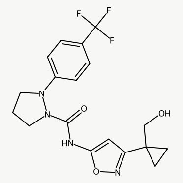 O=C(Nc1cc(C2(CO)CC2)no1)N1CCCN1c1ccc(C(F)(F)F)cc1